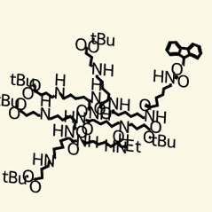 CCNC(=O)CCCCCNC(=O)C(CCCCNCCCC(=O)OC(C)(C)C)NC(=O)C(CCCCNCCCC(=O)OC(C)(C)C)NC(=O)C(CCCCNCCCC(=O)OC(C)(C)C)NC(=O)C(CCCCNCCCC(=O)OC(C)(C)C)NC(=O)C(CCCCNCCCC(=O)OC(C)(C)C)NC(=O)CCCCCNC(=O)CCCCCNC(=O)OCC1c2ccccc2-c2ccccc21